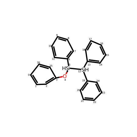 c1ccc(O[SiH](c2ccccc2)[SiH](c2ccccc2)c2ccccc2)cc1